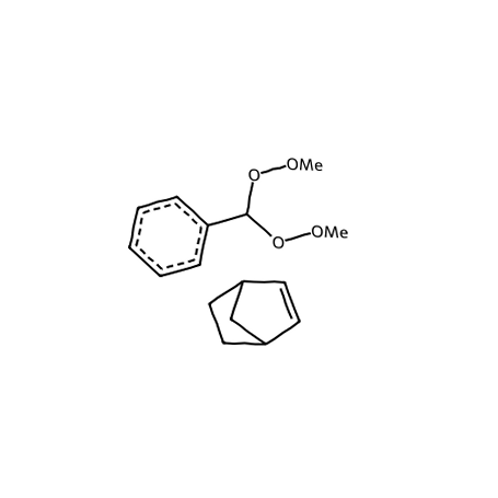 C1=CC2CCC1C2.COOC(OOC)c1ccccc1